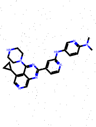 CN(C)c1ccc(Nc2cc(-c3nc(N4CCNCC4)c4c(C5CC5)cncc4n3)ccn2)cn1